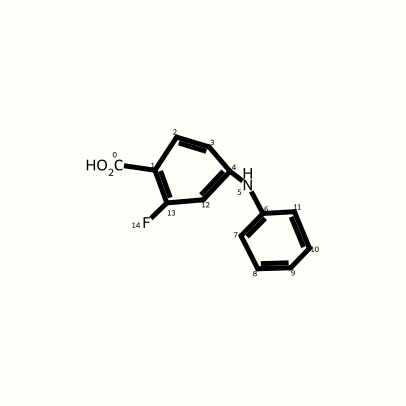 O=C(O)c1ccc(Nc2ccccc2)cc1F